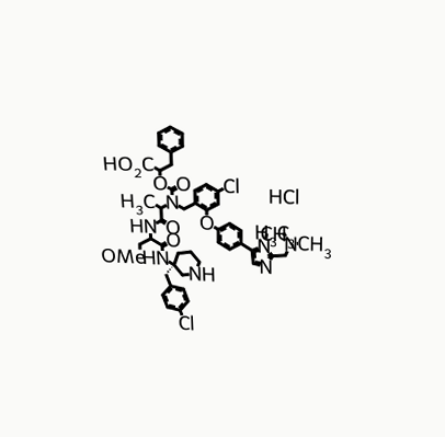 COCC(NC(=O)C(C)N(Cc1ccc(Cl)cc1Oc1ccc(-c2cnc(CN(C)C)n2C)cc1)C(=O)OC(Cc1ccccc1)C(=O)O)C(=O)N[C@@]1(Cc2ccc(Cl)cc2)CCCNC1.Cl